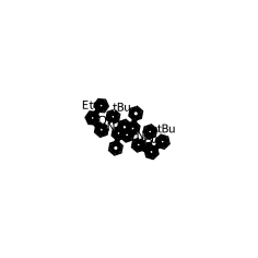 CCc1ccccc1-c1cccc2c1oc1c(N(c3ccc(C(C)(C)C)cc3)c3cc(C4CCCCC4)c4ccc5c(N(c6ccc(C(C)(C)C)cc6)c6cccc7c6oc6c(-c8ccccc8CC)cccc67)cc(C6CCCCC6)c6ccc3c4c65)cccc12